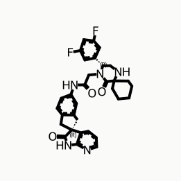 O=C(CN1C(=O)C2(CCCCC2)NC[C@H]1c1cc(F)cc(F)c1)Nc1ccc2c(c1)C[C@@]1(C2)C(=O)Nc2ncccc21